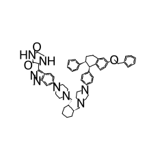 Cn1nc(C2NCC(=O)NC2=O)c2ccc(N3CCN(C[C@H]4CCCC[C@@H]4CN4CCN(c5ccc([C@@H]6c7ccc(OCc8ccccc8)cc7CC[C@@H]6c6ccccc6)cc5)CC4)CC3)cc21